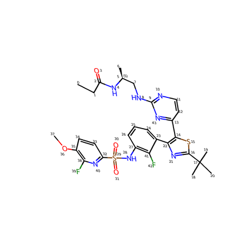 CCC(=O)N[C@@H](C)CNc1nccc(-c2sc(C(C)(C)C)nc2-c2cccc(NS(=O)(=O)c3ccc(OC)c(F)n3)c2F)n1